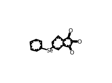 O=c1c(=O)c2ccc([Se]c3ccccc3)cc2c1=O